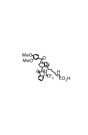 COc1ccc(C(=O)N2CCC(NC(=O)c3ccccc3OC(F)(F)F)c3c2cnn3CCCCCNC(=O)O)cc1OC